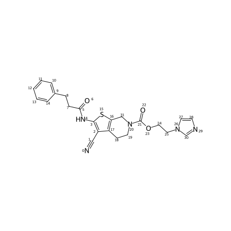 N#Cc1c(NC(=O)CCc2ccccc2)sc2c1CCN(C(=O)OCCn1ccnc1)C2